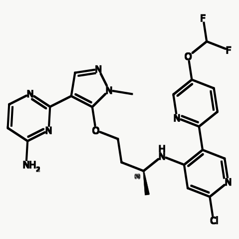 C[C@@H](CCOc1c(-c2nccc(N)n2)cnn1C)Nc1cc(Cl)ncc1-c1ccc(OC(F)F)cn1